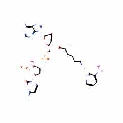 Nc1ccn([C@H]2C[C@H](OP(=O)(O)OC[C@H]3O[C@@H](n4cnc5c(N)ncnc54)[C@H](O)[C@@H]3OC(=O)[C@@H](N)CCCCNSc3ncccc3[N+](=O)[O-])[C@@H](COP(=O)(O)O)O2)c(=O)n1